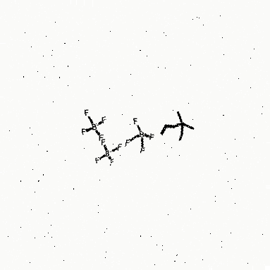 CCC(C)(C)C.F[B-](F)(F)F.F[B-](F)(F)F.F[B-](F)(F)F